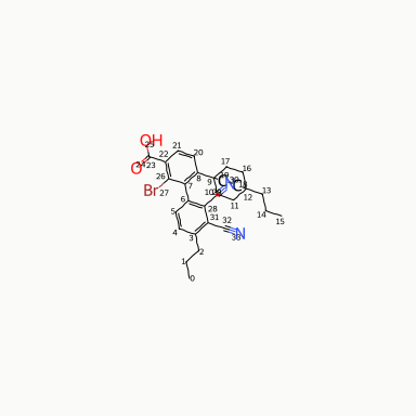 CCCc1ccc(-c2c(C34CCC(CCC)(CC3)CC4)ccc(C(=O)O)c2Br)c(C#N)c1C#N